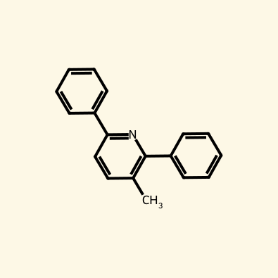 Cc1ccc(-c2ccccc2)nc1-c1ccccc1